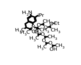 CCOC(C)OC(C)OC(C)(OC(C)OC(C)OC(C)OC(C)O)N1c2cc(C(C)C)c(N)cc2CC(C)C1(C)C